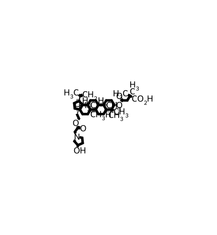 C=C(C)[C@@H]1CC[C@]2(CCOC(=O)CN3CCC(O)C3)CC[C@]3(C)[C@H](CC[C@@H]4[C@@]5(C)CC[C@H](OC(=O)CC(C)(C)C(=O)O)C(C)(C)[C@@H]5CC[C@]43C)[C@@H]12